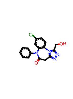 O=C1Cc2nnc(CO)n2-c2ccc(Cl)cc2N1c1ccccc1